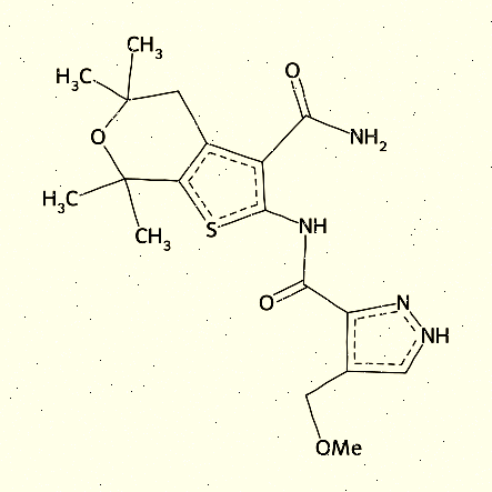 COCc1c[nH]nc1C(=O)Nc1sc2c(c1C(N)=O)CC(C)(C)OC2(C)C